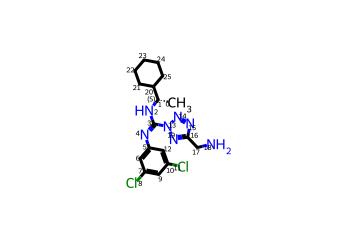 C[C@H](NC(=Nc1cc(Cl)cc(Cl)c1)n1nnc(CN)n1)C1CCCCC1